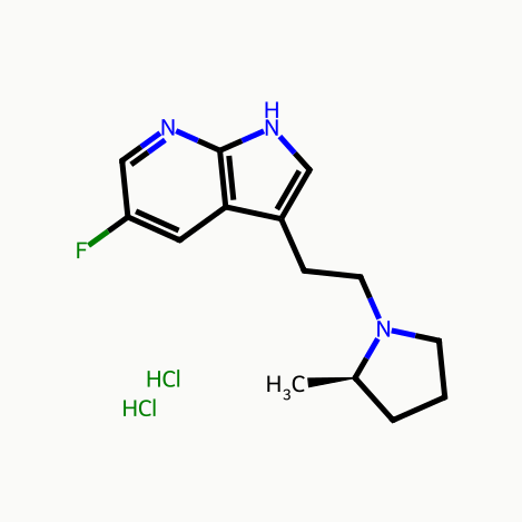 C[C@@H]1CCCN1CCc1c[nH]c2ncc(F)cc12.Cl.Cl